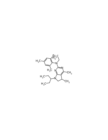 CCC(CC)N1CC(C)c2c(C)nc(N(CC)c3c(C)cc(C)cc3C)nc21